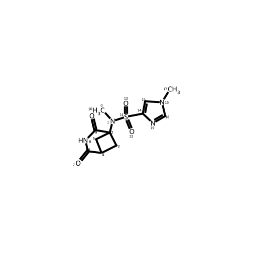 CN(C12CC(C1)C(=O)NC2=O)S(=O)(=O)c1cn(C)cn1